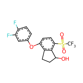 O=S(=O)(c1ccc(Oc2ccc(F)c(F)c2)c2c1C(O)CC2)C(F)(F)F